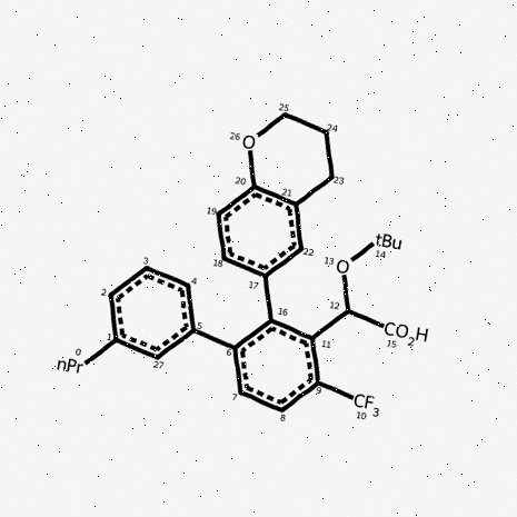 CCCc1cccc(-c2ccc(C(F)(F)F)c(C(OC(C)(C)C)C(=O)O)c2-c2ccc3c(c2)CCCO3)c1